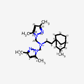 Cc1cc(C)n(CN(CCC23CCCC(CC(C)C2)C3)Cn2nc(C)cc2C)n1